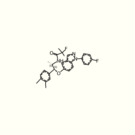 Cc1ccc([C@H](Oc2ccc3c(cnn3-c3ccc(F)cc3)c2)[C@H](C)NC(=O)C(C)(C)F)cc1C